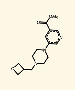 COC(=O)c1cncc(N2CCN(CC3COC3)CC2)c1